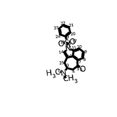 CN(C)C1CC(=O)c2cccc3c2c(cn3S(=O)(=O)c2ccccc2)C1